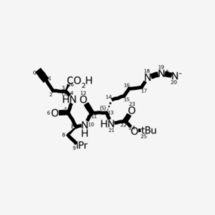 C#CC[C@H](NC(=O)[C@H](CC(C)C)NC(=O)[C@H](CCCCN=[N+]=[N-])NC(=O)OC(C)(C)C)C(=O)O